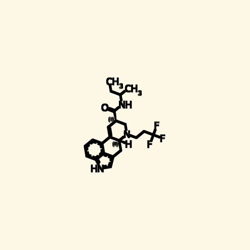 CCC(C)NC(=O)[C@@H]1C=C2c3cccc4[nH]cc(c34)C[C@H]2N(CCC(F)(F)F)C1